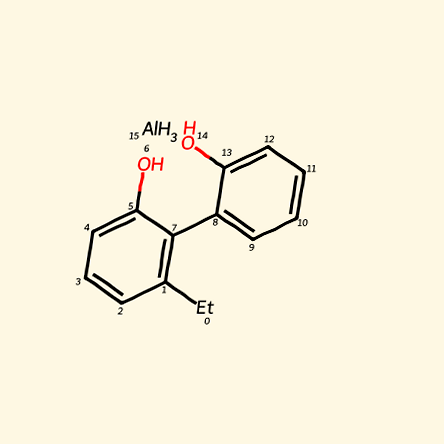 CCc1cccc(O)c1-c1ccccc1O.[AlH3]